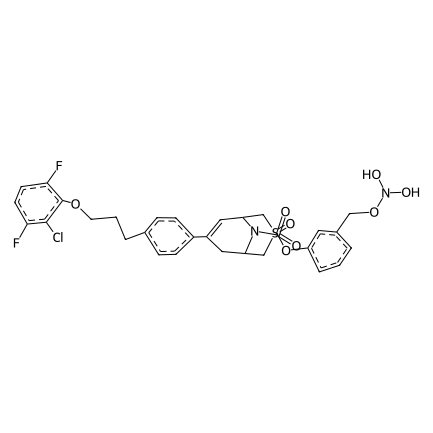 O=C(Oc1cccc(CON(O)O)c1)N1C2C=C(c3ccc(CCCOc4c(F)ccc(F)c4Cl)cc3)CC1CS(=O)(=O)C2